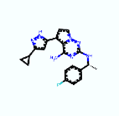 C[C@@H](Nc1nc(N)c2c(-c3cc(C4CC4)n[nH]3)ccn2n1)c1ccc(F)cc1